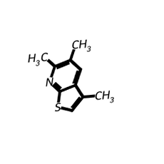 Cc1cc2c(C)csc2nc1C